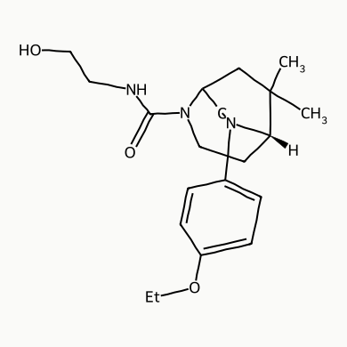 CCOc1ccc(N2CC3CC(C)(C)[C@@H]2CCN3C(=O)NCCO)cc1